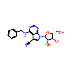 N#Cc1cn([C@@H]2O[C@H](CO)[C@@H](O)[C@H]2O)c2ncnc(NCc3ccccc3)c12